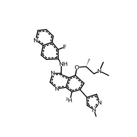 [2H]c1c(-c2cnn(C)c2)cc(O[C@H](C)CN(C)C)c2c(Nc3ccc4ncccc4c3F)ncnc12